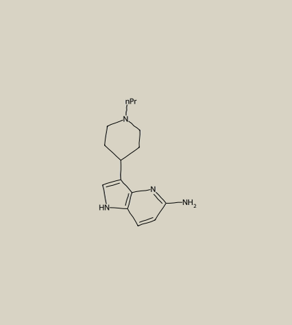 CCCN1CCC(c2c[nH]c3ccc(N)nc23)CC1